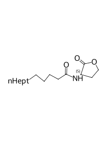 CCCCCCCCCCCC(=O)N[C@H]1CCOC1=O